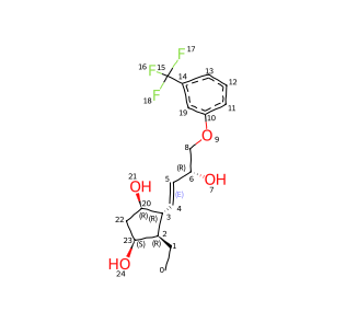 CC[C@@H]1[C@@H](/C=C/[C@@H](O)COc2cccc(C(F)(F)F)c2)[C@H](O)C[C@@H]1O